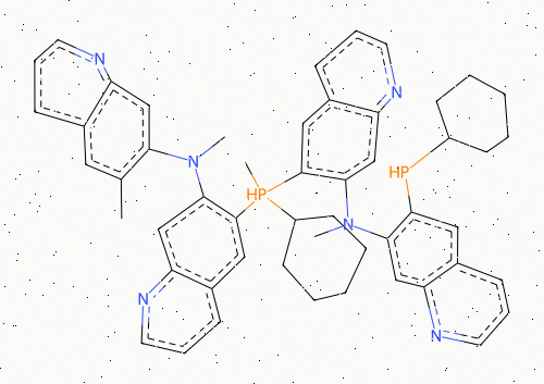 Cc1cc2cccnc2cc1N(C)c1cc2ncccc2cc1[PH](C)(c1cc2cccnc2cc1N(C)c1cc2ncccc2cc1PC1CCCCC1)C1CCCCC1